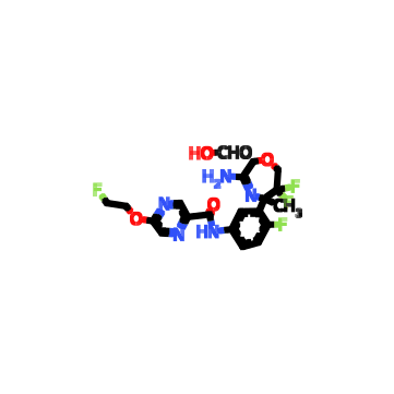 CC1(c2cc(NC(=O)c3cnc(OCCF)cn3)ccc2F)N=C(N)COCC1(F)F.O=CO